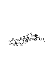 C=CC(=O)NC1CCCN(S(=O)(=O)c2ccc(Oc3ccccc3)cc2)CC1